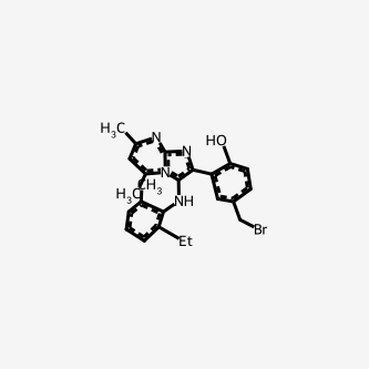 CCc1cccc(C)c1Nc1c(-c2cc(CBr)ccc2O)nc2nc(C)cc(C)n12